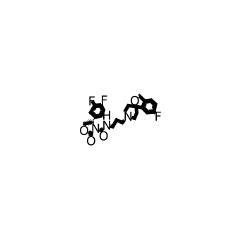 O=C(NCCCN1CCC2(CC1)OCc1ccc(F)cc12)N1C(=O)OC[C@@H]1c1ccc(F)c(F)c1